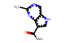 CNC(=O)c1c[nH]c2cnc(C)nc12